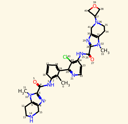 Cc1c(NC(=O)c2nc3c(n2C)CCNC3)cccc1-c1nccc(NC(=O)c2nc3c(n2C)CCN(C2COC2)C3)c1Cl